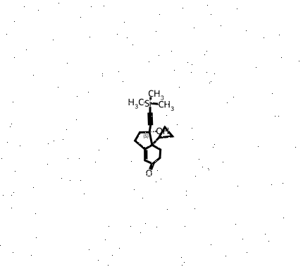 C[Si](C)(C)C#C[C@]1(O)CCC2=CC(=O)CCC21C1CC1